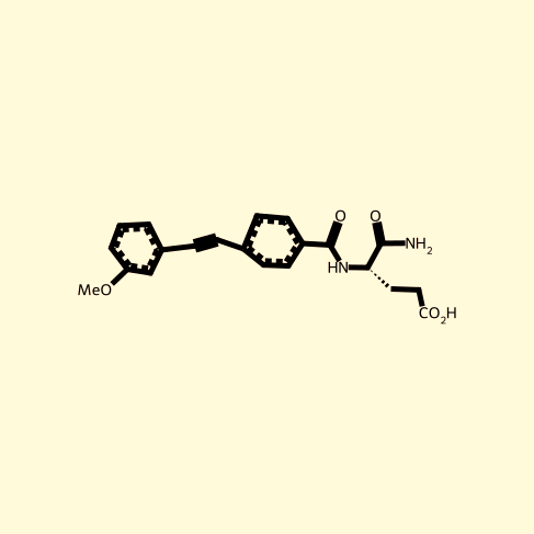 COc1cccc(C#Cc2ccc(C(=O)N[C@@H](CCC(=O)O)C(N)=O)cc2)c1